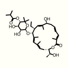 CC[C@H]1/C=C(\C)[C@@H](O)C/C=C/C=C(\C)C(=O)O[C@H]([C@H](C)O)C/C=C(C)/C=C(\C)[C@@H]1O[C@@H]1OC(C)(C)[C@@H](OC(=O)C(C)C)[C@H](O)[C@@H]1O